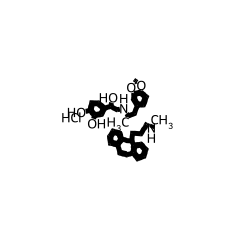 CC(Cc1ccc2c(c1)OCO2)NCC(O)c1ccc(O)c(O)c1.CNCCCC1c2ccccc2C=Cc2ccccc21.Cl